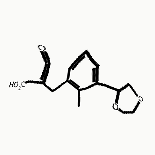 Cc1c(CC(=C=O)C(=O)O)cccc1C1COCO1